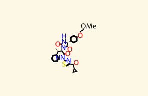 COCCOc1ccc([C@H]2NC(=O)N([C@H](C(=O)Nc3nc(C(=O)C4CC4)cs3)[C@@H](C)c3ccccc3)C2=O)cc1